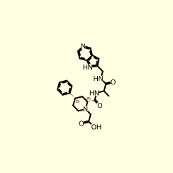 CC(NC(=O)[C@H]1C[C@@H](c2ccccc2)CCN1CC(=O)O)C(=O)NCc1cc2cnccc2[nH]1